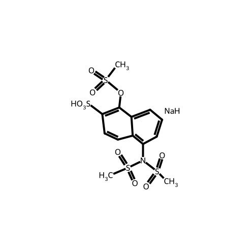 CS(=O)(=O)Oc1c(S(=O)(=O)O)ccc2c(N(S(C)(=O)=O)S(C)(=O)=O)cccc12.[NaH]